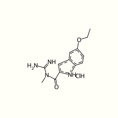 CCOc1ccc2[nH]c(C(=O)N(C)C(=N)N)cc2c1.Cl